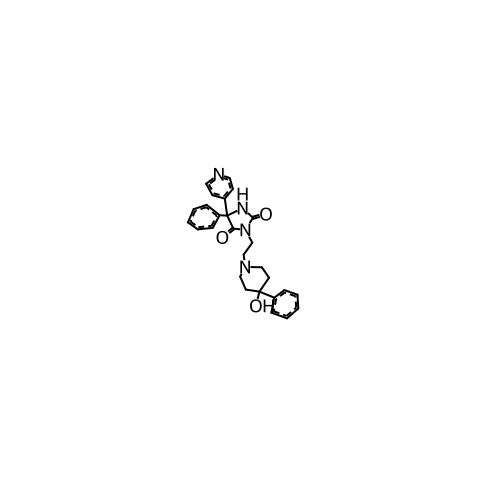 O=C1NC(c2ccccc2)(c2ccncc2)C(=O)N1CCN1CCC(O)(c2ccccc2)CC1